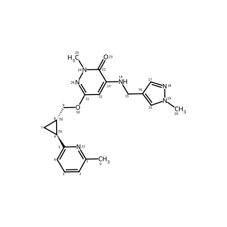 Cc1cccc([C@H]2C[C@@H]2COc2cc(NCc3cnn(C)c3)c(=O)n(C)n2)n1